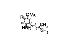 COc1cc2c(CCN(C)C)n[nH]c2cc1F